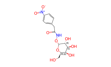 O=C(Cc1ccc([N+](=O)[O-])cc1)NOC1O[C@H](CO)[C@H](O)[C@H](O)[C@H]1O